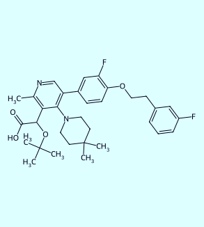 Cc1ncc(-c2ccc(OCCc3cccc(F)c3)c(F)c2)c(N2CCC(C)(C)CC2)c1C(OC(C)(C)C)C(=O)O